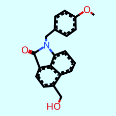 COc1ccc(CN2C(=O)c3ccc(CO)c4cccc2c34)cc1